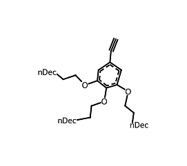 C#Cc1cc(OCCCCCCCCCCCC)c(OCCCCCCCCCCCC)c(OCCCCCCCCCCCC)c1